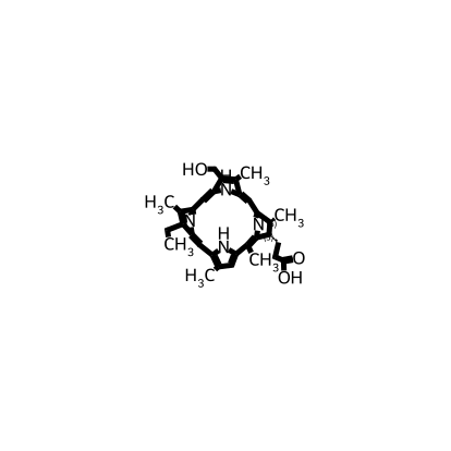 CCC1=C(C)c2cc3[nH]c(cc4nc(c(C)c5cc(C)c(cc1n2)[nH]5)[C@@H](CCC(=O)O)[C@@H]4C)c(C)c3CO